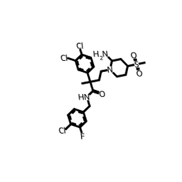 CC(CCN1CCC(S(C)(=O)=O)CC1N)(C(=O)NCc1ccc(Cl)c(F)c1)c1ccc(Cl)c(Cl)c1